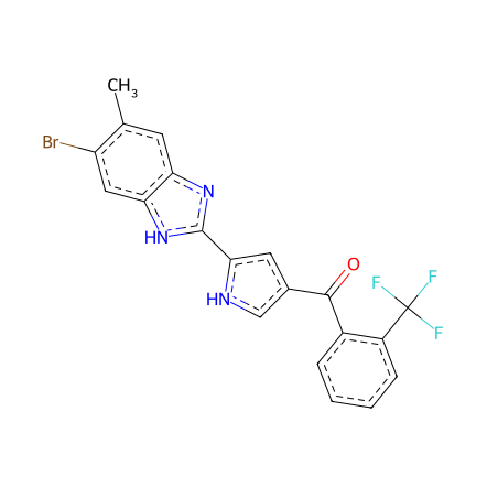 Cc1cc2nc(-c3cc(C(=O)c4ccccc4C(F)(F)F)c[nH]3)[nH]c2cc1Br